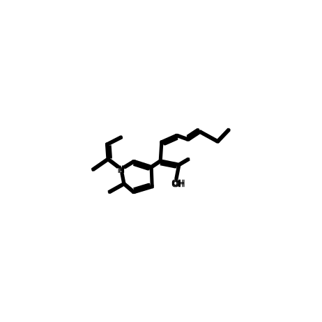 C/C=C(/C)N1C=C(C(/C=C\C=C\CC)=C(/C)O)C=CC1C